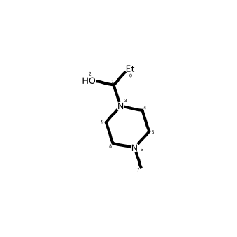 CCC(O)N1CCN(C)CC1